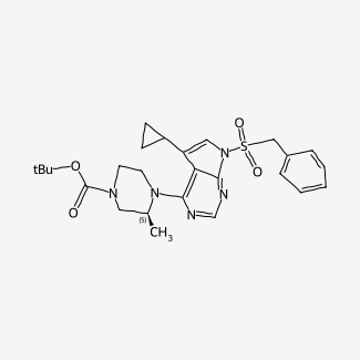 C[C@H]1CN(C(=O)OC(C)(C)C)CCN1c1ncnc2c1c(C1CC1)cn2S(=O)(=O)Cc1ccccc1